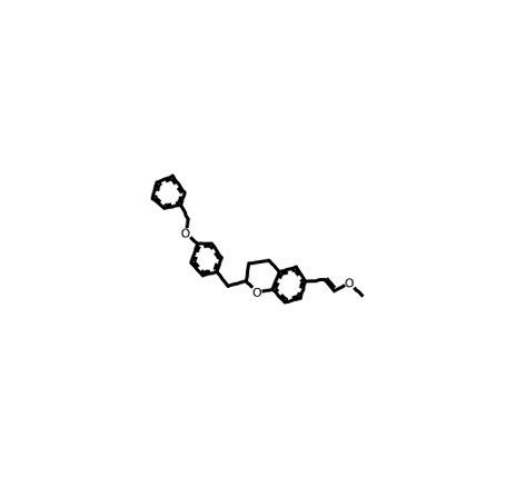 COC=Cc1ccc2c(c1)CCC(Cc1ccc(OCc3ccccc3)cc1)O2